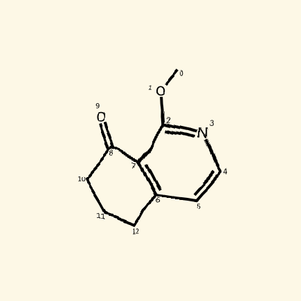 COc1nccc2c1C(=O)CCC2